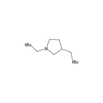 CC(C)(C)CC1CCN(CC(C)(C)C)C1